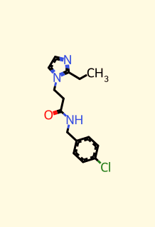 CCc1nccn1CCC(=O)NCc1ccc(Cl)cc1